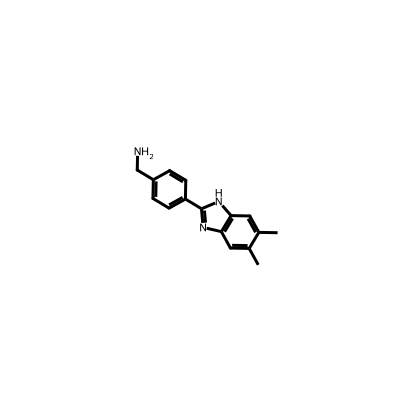 Cc1cc2nc(-c3ccc(CN)cc3)[nH]c2cc1C